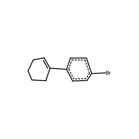 Brc1ccc(C2=CCCCC2)cc1